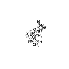 Cc1c(S(=O)(=O)NC(C)CO)c2n(c1C(=O)Nc1cc(F)nc(C#N)c1)CCC=C2